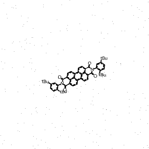 CC(C)(C)c1ccc(C(C)(C)C)c(N2C(=O)c3ccc4c5ccc6c7c(ccc(c8ccc(c3c48)C2=O)c75)C(=O)N(c2cc(C(C)(C)C)ccc2C(C)(C)C)C6=O)c1